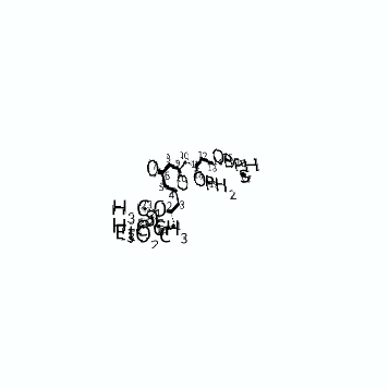 CCOC(=O)C[C@@H](C[C@H]1CC(=O)C[C@@H](C[C@H](CCOB=[PH]=S)OP)O1)O[Si](C)(C)C